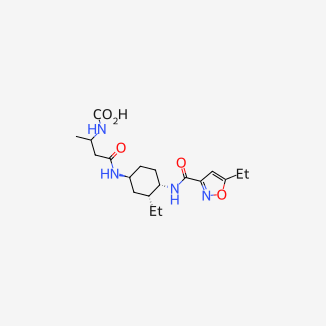 CCc1cc(C(=O)N[C@H]2CC[C@H](NC(=O)CC(C)NC(=O)O)C[C@H]2CC)no1